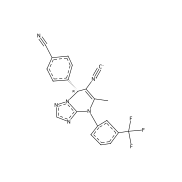 [C-]#[N+]C1=C(C)N(c2cccc(C(F)(F)F)c2)c2ncnn2[C@@H]1c1ccc(C#N)cc1